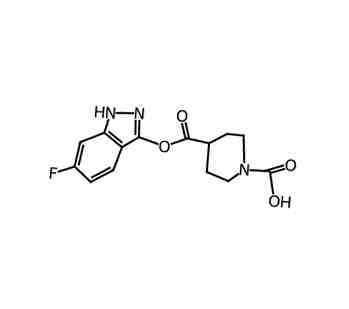 O=C(Oc1n[nH]c2cc(F)ccc12)C1CCN(C(=O)O)CC1